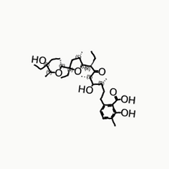 CC[C@@H](C(=O)[C@@H](C)C(O)[C@H](C)CCc1ccc(C)c(O)c1C(=O)O)[C@H]1O[C@](CC)([C@H]2CC[C@](O)(CC)[C@H](C)O2)C[C@@H]1C